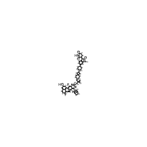 C#Cc1c(F)ccc2cc(O)cc(-c3ncc4c(N5CC6CCC(C5)N6)nc(OCC5(CN6CCC7(CC6)CC(N6CCC(c8ccc9c(c8)N(C)C(=O)C9C8CCC(=O)NC8=O)CC6)C7)CC5)nc4c3F)c12